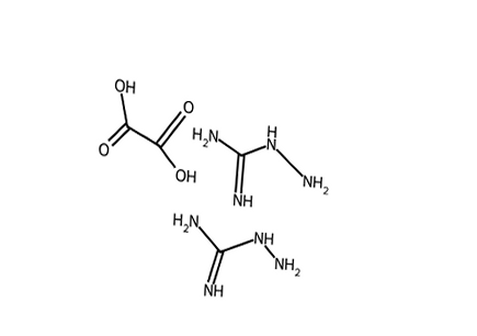 N=C(N)NN.N=C(N)NN.O=C(O)C(=O)O